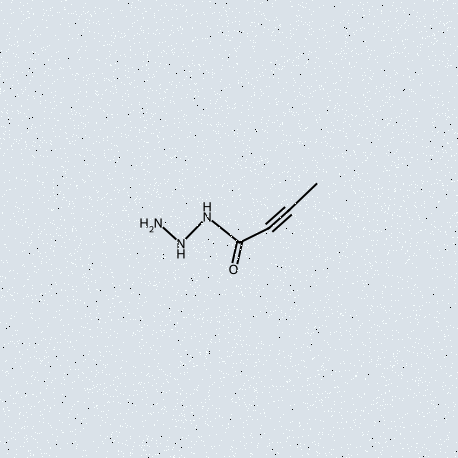 CC#CC(=O)NNN